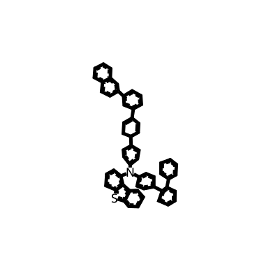 C1=CC(c2ccc(N(c3ccc(-c4ccccc4-c4ccccc4)cc3)c3cccc4sc5ccccc5c34)cc2)CC=C1c1cccc(-c2ccc3ccccc3c2)c1